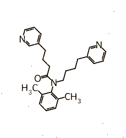 Cc1cccc(C)c1N(CCCCc1cccnc1)C(=O)CCCc1cccnc1